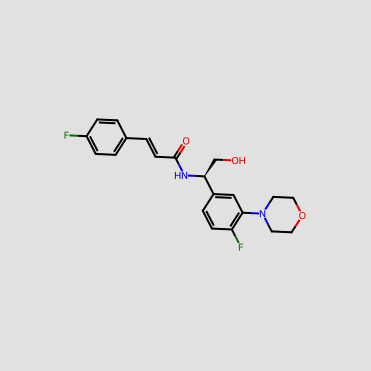 O=C(C=Cc1ccc(F)cc1)N[C@@H](CO)c1ccc(F)c(N2CCOCC2)c1